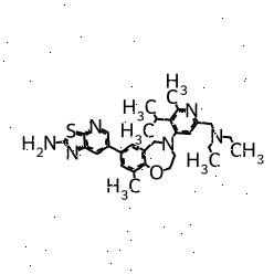 CCN(CC)Cc1cc(N2CCOc3c(C)cc(-c4cnc5sc(N)nc5c4)cc3C2)c(C(C)C)c(C)n1